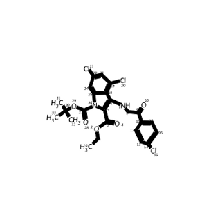 CCOC(=O)c1c(NCC(=O)c2ccc(Cl)cc2)c2c(Cl)cc(Cl)cc2n1C(=O)OC(C)(C)C